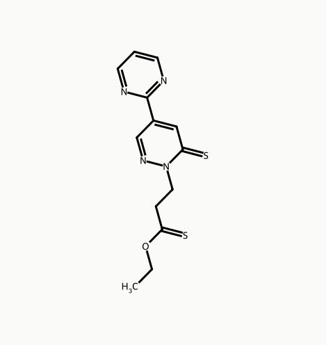 CCOC(=S)CCn1ncc(-c2ncccn2)cc1=S